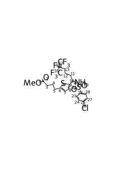 COC(=O)CCCc1ccc(C(CCCC(F)(C(F)(F)F)C(F)(F)F)NS(=O)(=O)c2ccc(Cl)cc2)s1